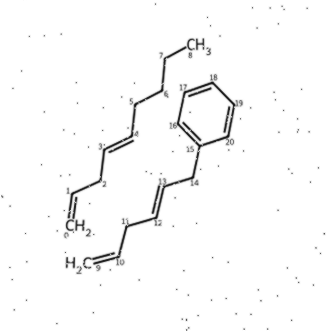 C=CCC=CCCCC.C=CCC=CCc1ccccc1